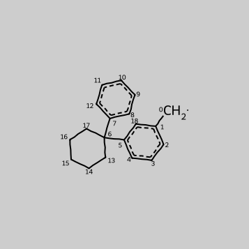 [CH2]c1cccc(C2(c3ccccc3)CCCCC2)c1